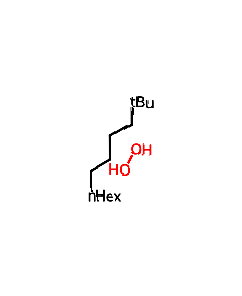 CCCCCCCCCCC(C)(C)C.OO